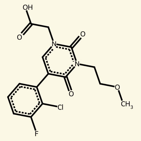 COCCn1c(=O)c(-c2cccc(F)c2Cl)cn(CC(=O)O)c1=O